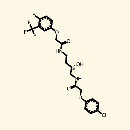 O=C(COc1ccc(F)c(C(F)(F)F)c1)NCC[C@H](O)CNC(=O)COc1ccc(Cl)cc1